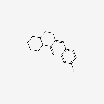 O=C1C(=Cc2ccc(Cl)cc2)CCC2CCCCC12